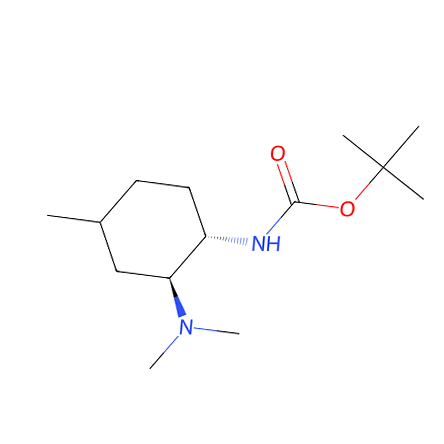 CC1CC[C@H](NC(=O)OC(C)(C)C)[C@@H](N(C)C)C1